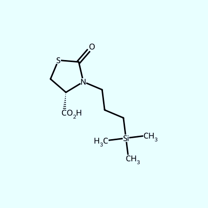 C[Si](C)(C)CCCN1C(=O)SC[C@H]1C(=O)O